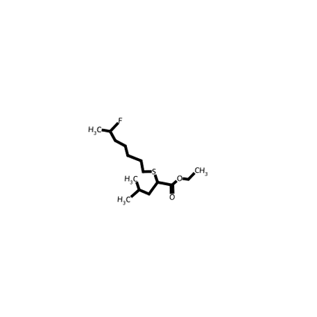 CCOC(=O)C(CC(C)C)SCCCCCC(C)F